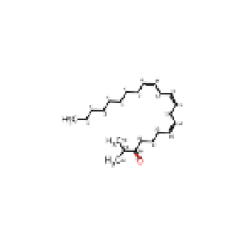 CCCCCCCC/C=C\C/C=C\C/C=C\CCCC(=O)C(C)C